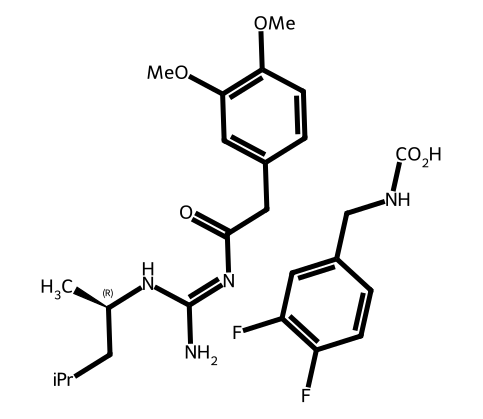 COc1ccc(CC(=O)N=C(N)N[C@H](C)CC(C)C)cc1OC.O=C(O)NCc1ccc(F)c(F)c1